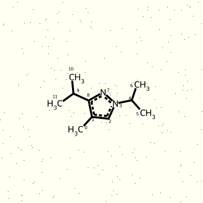 Cc1cn(C(C)C)nc1C(C)C